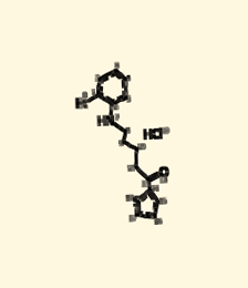 CCc1ccccc1NCCCCC(=O)c1cccs1.Cl